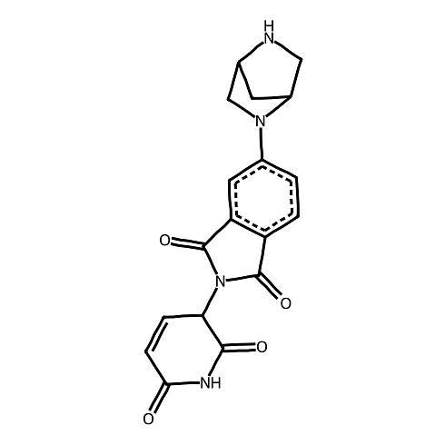 O=C1C=CC(N2C(=O)c3ccc(N4CC5CC4CN5)cc3C2=O)C(=O)N1